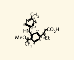 CC[C@H](CC(=O)O)c1ccc([C@H](OC)C(F)(F)F)c(Nc2cnc(C)nc2)c1